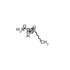 CCCCCCCCCP(=O)(O)CC(CCC(N)=O)C(=O)O